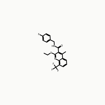 CCSc1nc2c(C(F)(F)F)cccc2c(C)c1C(=O)NCc1ccc(F)cc1